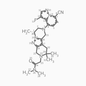 C[C@@H]1CN(c2ccc(C#N)n3ncc(F)c23)Cc2c3c(nn21)CN(CC(=O)N(C)C)C(C)(C)C3